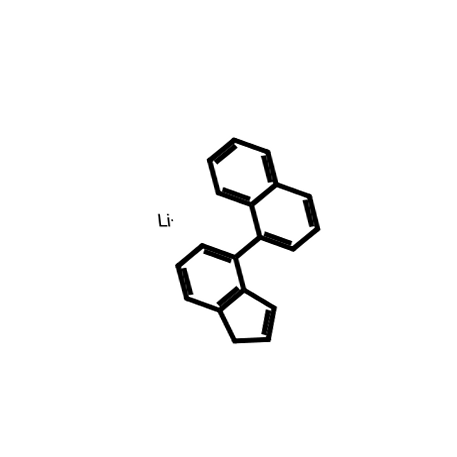 C1=Cc2c(cccc2-c2cccc3ccccc23)C1.[Li]